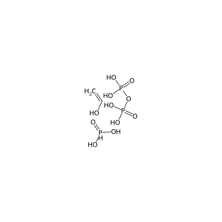 C=CO.O=P(O)(O)OP(=O)(O)O.O=[PH](O)O